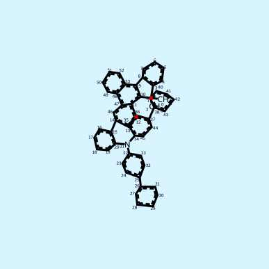 CC1(C)c2ccccc2-c2c1c1ccc(-c3ccccc3N(c3ccc(-c4ccccc4)cc3)c3ccc(-c4ccccc4)cc3)cc1c1ccccc21